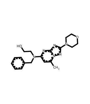 Cc1cc(N(CCO)Cc2ccccc2)nc2nc(N3CCOCC3)nn12